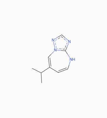 CC(C)C1=Cn2ncnc2NC=C1